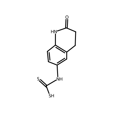 O=C1CCc2cc(NC(=S)S)ccc2N1